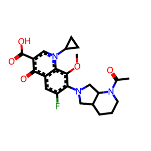 COc1c(N2CC3CCCN(C(C)=O)C3C2)c(F)cc2c(=O)c(C(=O)O)cn(C3CC3)c12